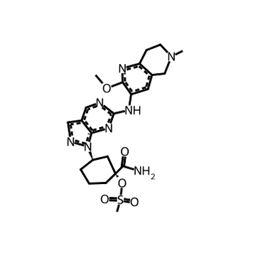 COc1nc2c(cc1Nc1ncc3cnn([C@@H]4CCC[C@](OS(C)(=O)=O)(C(N)=O)C4)c3n1)CN(C)CC2